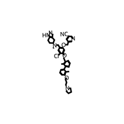 Cc1c(COc2cc(OCc3cncc(C#N)c3)c(CN(C)C3CCc4[nH]ncc4C3)cc2Cl)cccc1-c1cccc(OCCCN2CCCC2)c1C